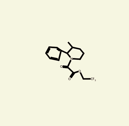 CC1CCCN(C(=O)C(=O)OCC(F)(F)F)C1c1ccccc1